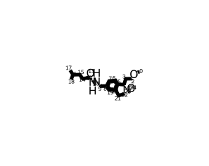 COCCC1c2ccc(CNNC(=O)CCC(C)C)cc2CC[N+]1=O